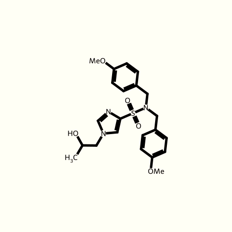 COc1ccc(CN(Cc2ccc(OC)cc2)S(=O)(=O)c2cn(CC(C)O)cn2)cc1